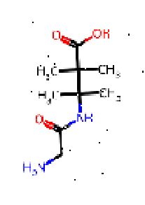 CC(C)(NC(=O)CN)C(C)(C)C(=O)O